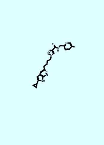 Cc1ccc(CNC(=O)c2cn(CCCCc3cc4cc(C5CC5)[nH]c4nn3)nn2)nc1